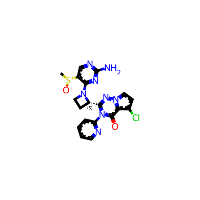 C[S+]([O-])c1cnc(N)nc1N1CC[C@H]1c1nn2ccc(Cl)c2c(=O)n1-c1ccccn1